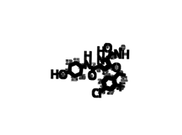 CNC(=O)c1[nH]c(C(=O)NC2CCC(O)CC2)cc1OC(C)c1ccc(Cl)cc1F